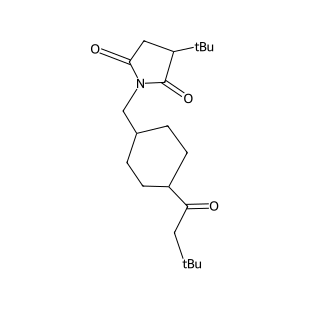 CC(C)(C)CC(=O)C1CCC(CN2C(=O)CC(C(C)(C)C)C2=O)CC1